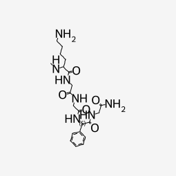 CNC(CCCCN)C(=O)NCC(=O)NCC(=O)N[C@H](C(=O)NCC(N)=O)c1ccccc1